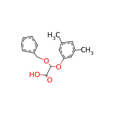 Cc1cc(C)cc(OC(OCc2ccccc2)C(=O)O)c1